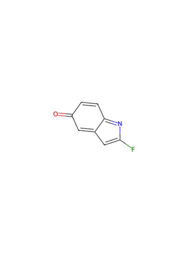 O=C1C=CC2=NC(F)=CC2=C1